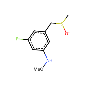 CONc1cc(F)cc(C[S+](C)[O-])c1